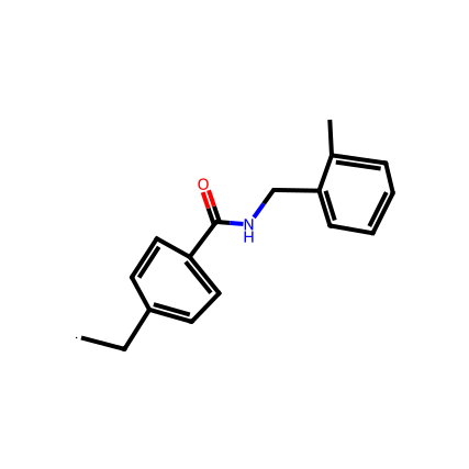 [CH2]Cc1ccc(C(=O)NCc2ccccc2C)cc1